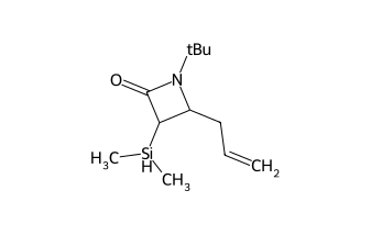 C=CCC1C([SiH](C)C)C(=O)N1C(C)(C)C